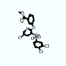 COC(=O)c1cccc(Oc2ncc(Cl)cc2NS(=O)(=O)c2ccc(Cl)c(Cl)c2)c1